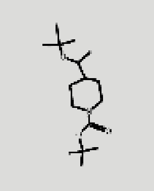 CC(OC(C)(C)C)C1CCN(C(=O)OC(C)(C)C)CC1